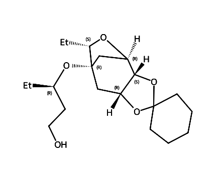 CC[C@H](CCO)O[C@@]12C[C@@H](O[C@H]1CC)[C@@H]1OC3(CCCCC3)O[C@@H]1C2